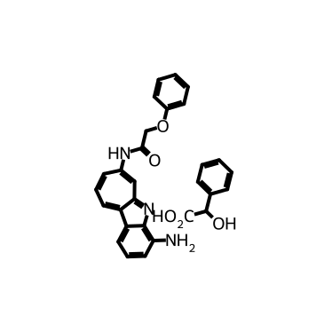 Nc1cccc2c3cccc(NC(=O)COc4ccccc4)cc-3nc12.O=C(O)C(O)c1ccccc1